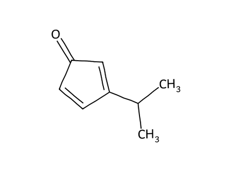 CC(C)C1=CC(=O)C=C1